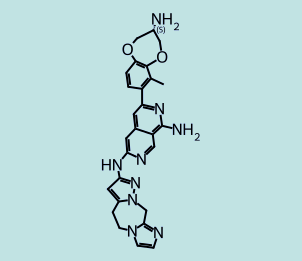 Cc1c(-c2cc3cc(Nc4cc5n(n4)Cc4nccn4CC5)ncc3c(N)n2)ccc2c1OC[C@@H](N)CO2